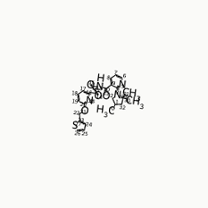 CC1CN(c2ncccc2C(=O)NS(=O)(=O)c2cccc(OCc3cccs3)n2)C(C)(C)C1